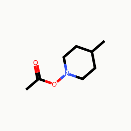 CC(=O)ON1CCC(C)CC1